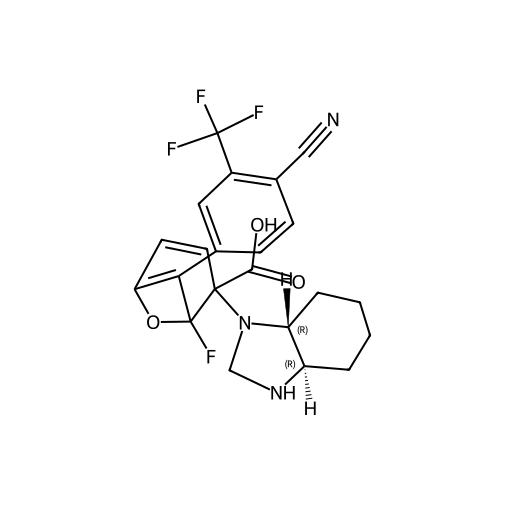 N#Cc1ccc(C2=C3C=CC(C(=O)O)(N4CN[C@@H]5CCCC[C@H]54)C2(F)O3)cc1C(F)(F)F